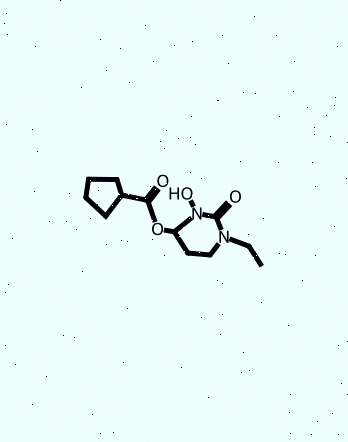 CCN1CCC(OC(=O)C2CCCC2)N(O)C1=O